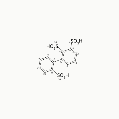 O=S(=O)(O)c1[c]ccc(-c2ccccc2S(=O)(=O)O)c1S(=O)(=O)O